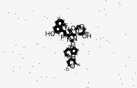 COc1nc(-c2cc(O)cc3cccc(F)c23)c(F)c2nc(OC[C@]34CCC[C@H]3N(C3C[C@@H](C)O[C@@H](C)C3)CCC4)nc(N3CCOC[C@@](C)(O)C3)c12